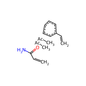 C=CC(N)=O.C=Cc1ccccc1.CC(C)=O.CC(C)=O